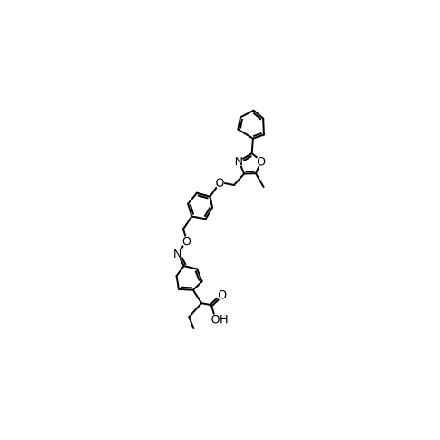 CCC(C(=O)O)C1=CCC(=NOCc2ccc(OCc3nc(-c4ccccc4)oc3C)cc2)C=C1